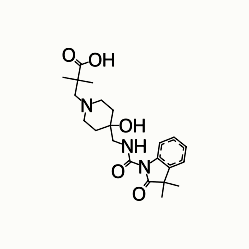 CC(C)(CN1CCC(O)(CNC(=O)N2C(=O)C(C)(C)c3ccccc32)CC1)C(=O)O